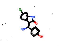 NC(=C1C(=O)Nc2cc(Cl)ccc21)c1ccc(O)cc1